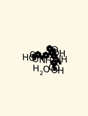 CCC(Nc1ccc(C(c2ccccc2S(=O)(=O)O)=c2ccc(=C(N)c3cccc(S(=O)(=O)O)c3)cc2)cc1)c1cccc(S(=O)(=O)O)c1.O